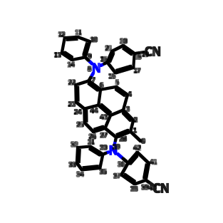 Cc1cc2ccc3c(N(c4ccccc4)c4ccc(C#N)cc4)ccc4ccc(c1N(c1ccccc1)c1ccc(C#N)cc1)c2c43